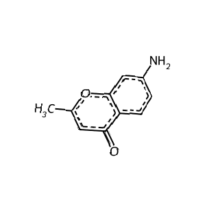 Cc1cc(=O)c2ccc(N)cc2o1